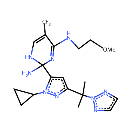 COCCNC1=NC(N)(c2cc(C(C)(C)n3nccn3)nn2C2CC2)NC=C1C(F)(F)F